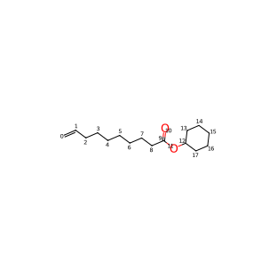 C=CCCCCCCCC(=O)OC1CCCCC1